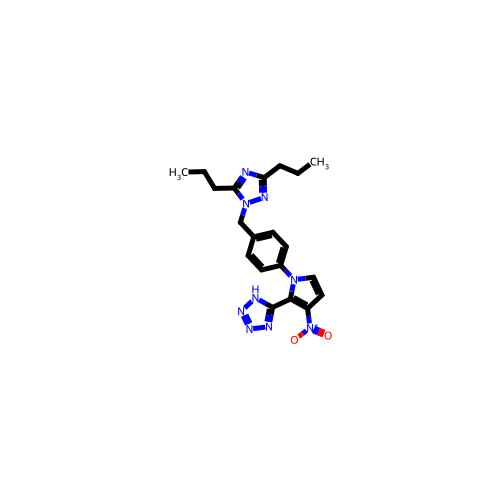 CCCc1nc(CCC)n(Cc2ccc(-n3ccc([N+](=O)[O-])c3-c3nnn[nH]3)cc2)n1